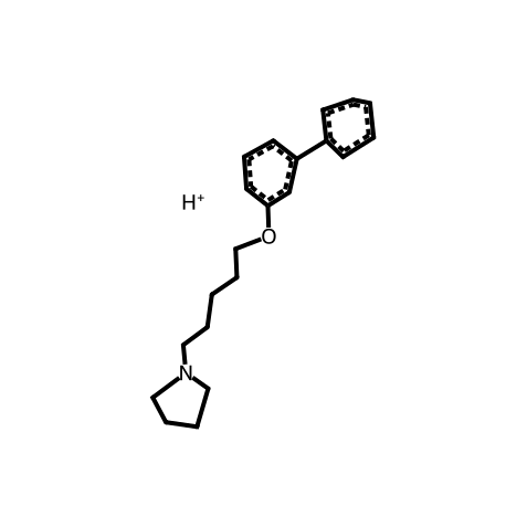 [H+].c1ccc(-c2cccc(OCCCCCN3CCCC3)c2)cc1